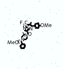 COC[C@@H](c1ccccc1)N1CCN(C(=O)c2cnn3c(C(F)(F)F)c(C)c(-c4ccc(OC)cc4)nc23)[C@H](C)C1